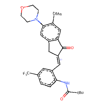 COc1cc2c(cc1N1CCOCC1)C/C(=C\c1cc(C(F)(F)F)ccc1NC(=O)C(C)(C)C)C2=O